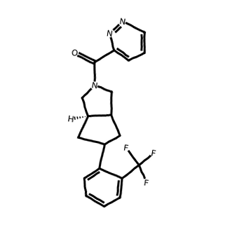 O=C(c1cccnn1)N1CC2CC(c3ccccc3C(F)(F)F)C[C@H]2C1